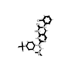 C[SiH](C)ON(c1ncc2c(n1)NC(=O)N(c1ccccc1Cl)C2)[C@H]1CC[C@H](C(C)(C)C)CC1